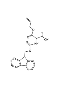 C=CCOC(=O)[C@@H](NC(=O)OCC1c2ccccc2-c2ccccc21)[C@@H](C)O